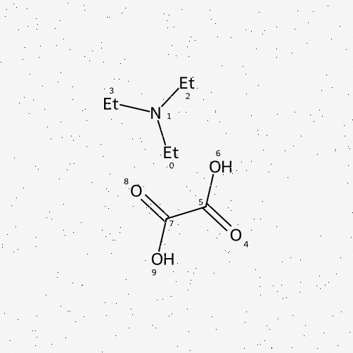 CCN(CC)CC.O=C(O)C(=O)O